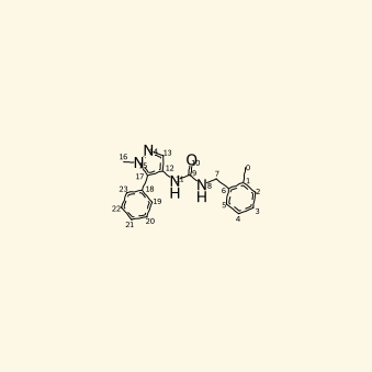 Cc1ccccc1CNC(=O)Nc1cnn(C)c1-c1ccccc1